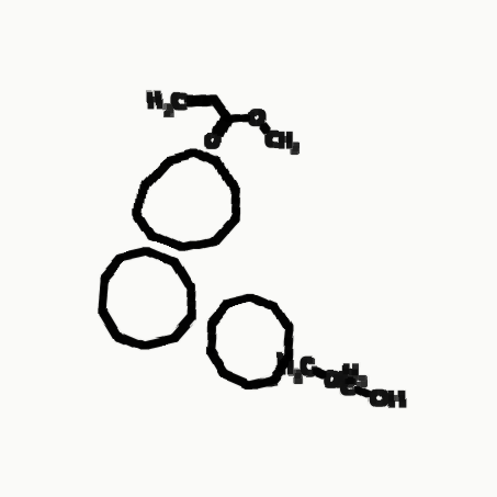 C1CCCCCCCCC1.C1CCCCCCCCC1.C1CCCCCCCCC1.C=CC(=O)OC.CO.CO